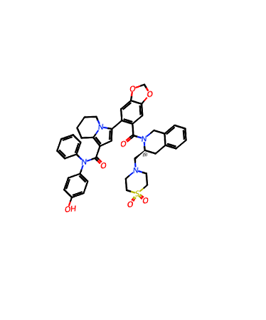 O=C(c1cc(-c2cc3c(cc2C(=O)N2Cc4ccccc4C[C@H]2CN2CCS(=O)(=O)CC2)OCO3)n2c1CCCC2)N(c1ccccc1)c1ccc(O)cc1